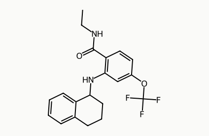 CCNC(=O)c1ccc(OC(F)(F)F)cc1NC1CCCc2ccccc21